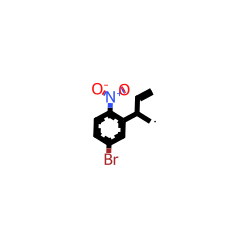 [CH2]C(C=C)c1cc(Br)ccc1[N+](=O)[O-]